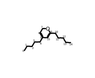 CCCCCC1=CCOC(CCCCC)=C1